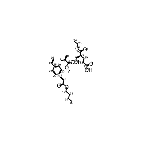 C=C(C)C(=O)OC.C=CC(=O)OCCCC.C=Cc1ccccc1.CCOC(=O)C(C=CC(=O)O)=CO